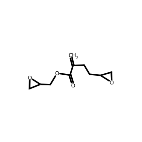 C=C(CCC1CO1)C(=O)OCC1CO1